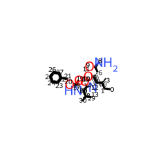 CC[C@H](C)[C@@H]([C@@H](CC(N)=O)OC)N(C)C(=O)[C@@H](NC(=O)OCc1ccccc1)C(C)C